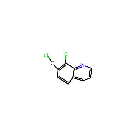 ClCc1ccc2cccnc2c1Cl